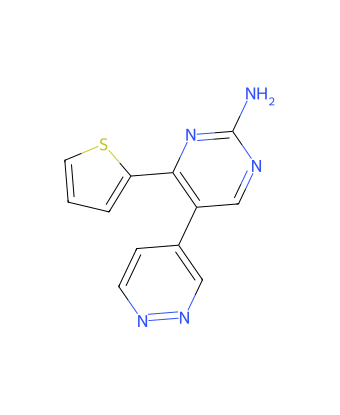 Nc1ncc(-c2ccnnc2)c(-c2cccs2)n1